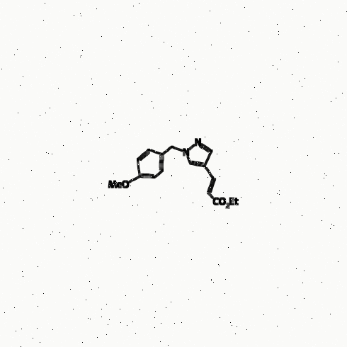 CCOC(=O)C=Cc1cnn(Cc2ccc(OC)cc2)c1